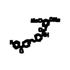 COc1cc(CC(=O)N[C@H]2CC[C@H](CCN3CCC(C(=O)c4ccc(F)cc4)CC3)CC2)cc(OC)c1